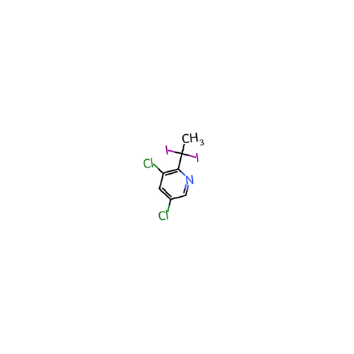 CC(I)(I)c1ncc(Cl)cc1Cl